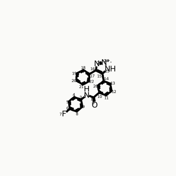 O=C(Nc1ccc(F)cc1)c1cccc(C2=C(c3ccccc3)N=[N+]N2)c1